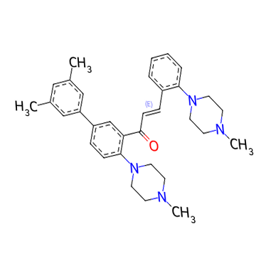 Cc1cc(C)cc(-c2ccc(N3CCN(C)CC3)c(C(=O)/C=C/c3ccccc3N3CCN(C)CC3)c2)c1